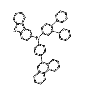 c1ccc(-c2ccc(N(c3ccc(-c4cc5ccccc5c5ccccc45)cc3)c3ccc4sc5ccccc5c4c3)cc2-c2ccccc2)cc1